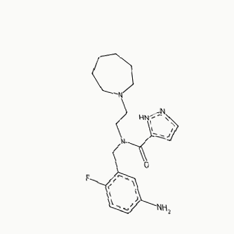 Nc1ccc(F)c(CN(CCN2CCCCCC2)C(=O)c2ccn[nH]2)c1